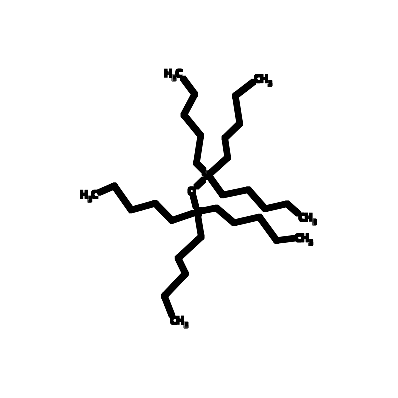 CCCCC[Si](CCCCC)(CCCCC)O[Si](CCCCC)(CCCCC)CCCCC